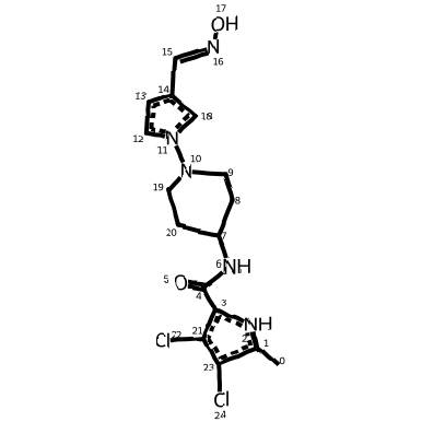 Cc1[nH]c(C(=O)NC2CCN(n3ccc(C=NO)c3)CC2)c(Cl)c1Cl